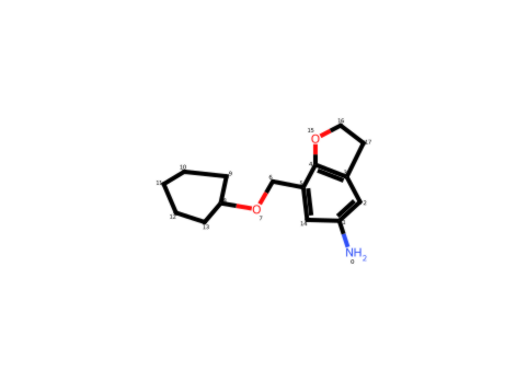 Nc1cc2c(c(COC3CCCCC3)c1)OCC2